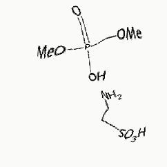 COP(=O)(O)OC.NCS(=O)(=O)O